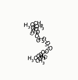 CC(C)(C)OC(=O)N1CCC[C@H]1C(=O)OCC(=O)c1ccc(-c2ccc(C(=O)COC(=O)[C@@H]3CCCN3C(=O)OC(C)(C)C)s2)s1